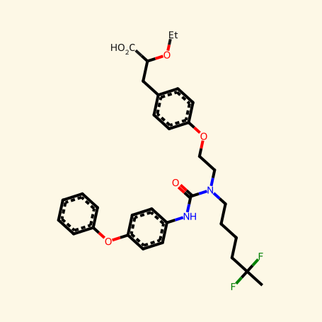 CCOC(Cc1ccc(OCCN(CCCCC(C)(F)F)C(=O)Nc2ccc(Oc3ccccc3)cc2)cc1)C(=O)O